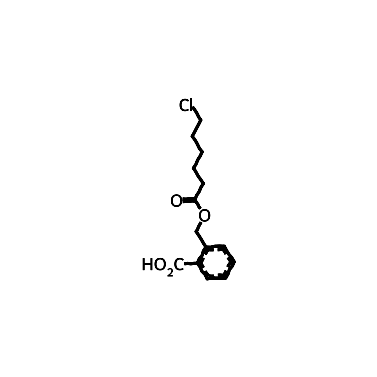 O=C(CCCCCCl)OCc1ccccc1C(=O)O